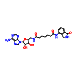 Nc1ncnc2c1ncn2C1OC(CNC(=O)CCCCCC(=O)Nc2cccc3c2CNC3=O)C(O)C1O